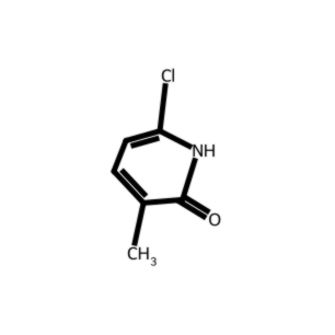 Cc1ccc(Cl)[nH]c1=O